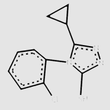 Sc1nnc(C2CC2)n1-c1ccccc1Cl